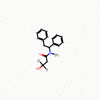 CCC(O)(CC)CC(=O)N(C)C(Cc1ccccc1)c1ccccc1